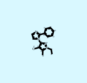 CCn1nc(-n2ccnc2-c2ccccc2)c(Cl)c1C